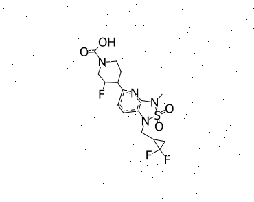 CN1c2nc(C3CCN(C(=O)O)CC3F)ccc2N(CC2CC2(F)F)S1(=O)=O